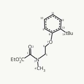 CCOC(=O)C(=O)N(C)CCOc1ccccc1C(C)(C)C